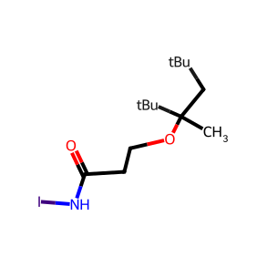 CC(C)(C)CC(C)(OCCC(=O)NI)C(C)(C)C